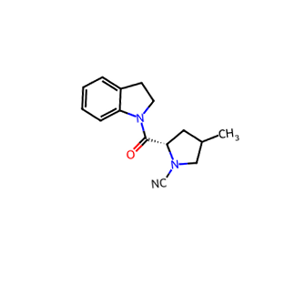 CC1C[C@@H](C(=O)N2CCc3ccccc32)N(C#N)C1